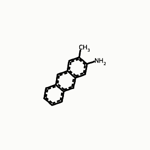 Cc1cc2cc3ccccc3cc2cc1N